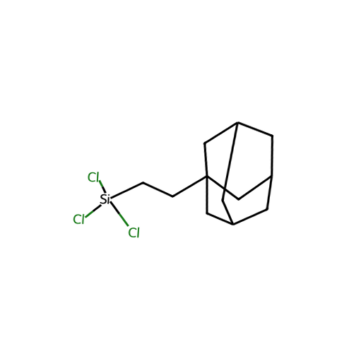 Cl[Si](Cl)(Cl)CCC12CC3CC(CC(C3)C1)C2